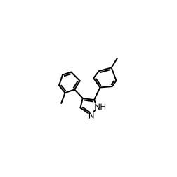 Cc1ccc(-c2[nH]ncc2-c2ccccc2C)cc1